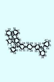 CC1CC=CC2=C1C1(c3ccccc32)c2ccccc2-c2cc3c4cc(-c5ccc(-c6ccc7c(c6)c6ccccc6n7-c6ccccc6)cc5)ccc4n(-c4ccccc4)c3cc21